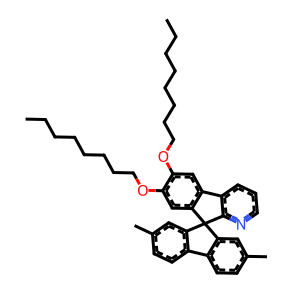 CCCCCCCCOc1cc2c(cc1OCCCCCCCC)C1(c3cc(C)ccc3-c3ccc(C)cc31)c1ncccc1-2